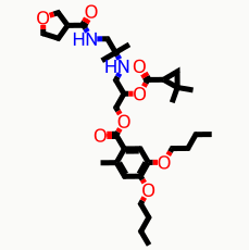 CCCCOc1cc(C)c(C(=O)OCC(CNC(C)(C)CNC(=O)C2CCOC2)OC(=O)C2CC2(C)C)cc1OCCCC